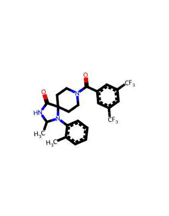 Cc1ccccc1N1C(C)NC(=O)C12CCN(C(=O)c1cc(C(F)(F)F)cc(C(F)(F)F)c1)CC2